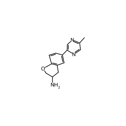 Cc1cnc(-c2ccc3c(c2)CC(N)CO3)cn1